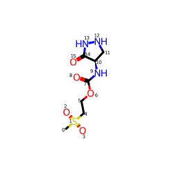 CS(=O)(=O)CCOC(=O)N[C@@H]1CNNC1=O